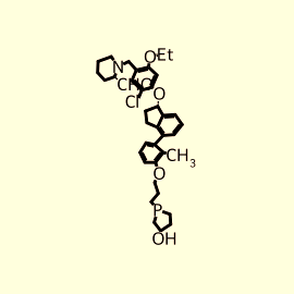 CCOc1cc(O[C@H]2CCc3c(-c4cccc(OCCCP5CCC(O)C5)c4C)cccc32)c(Cl)cc1CN1CCCC[C@H]1C=O